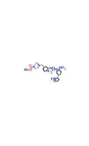 CC(C)(C)OC(=O)N1CCN(Cc2ccnc(NC(=S)Nc3cc(-c4ccn[nH]4)ccc3N)c2)CC1